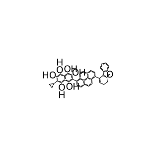 Oc1c(-c2ccc3ccc4c(C5=CCCc6oc7ccccc7c65)ccc5ccc2c3c54)c(O)c2c(O)c(C3CC3)c(O)c(O)c2c1O